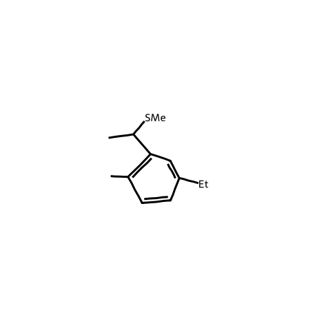 CCc1ccc(C)c(C(C)SC)c1